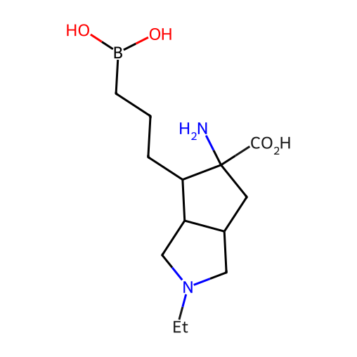 CCN1CC2CC(N)(C(=O)O)C(CCCB(O)O)C2C1